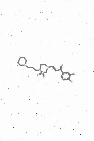 O=C(/C=C/N1CCN(CCCN2CCCCC2)S(=O)(=O)C1)c1ccc(Cl)c(Cl)c1